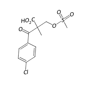 CC(COS(C)(=O)=O)(C(=O)O)C(=O)c1ccc(Cl)cc1